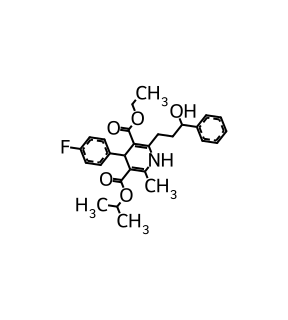 CCOC(=O)C1=C(CCC(O)c2ccccc2)NC(C)=C(C(=O)OC(C)C)C1c1ccc(F)cc1